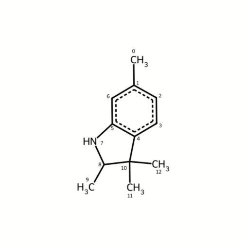 Cc1ccc2c(c1)NC(C)C2(C)C